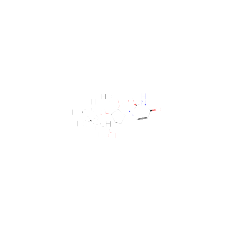 CO[C@@H]1[C@H](O[Si](C)(C)C(C)(C)C)[C@@H](CO)C[C@H]1n1ccc(=O)[nH]c1=O